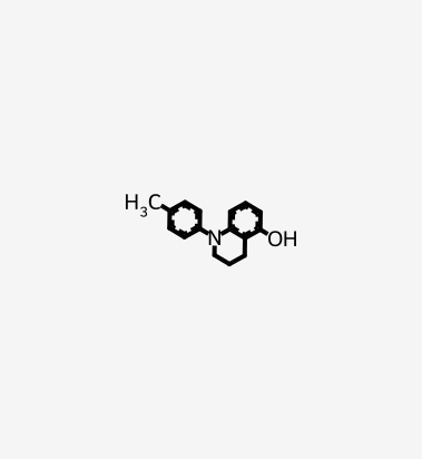 Cc1ccc(N2CCCc3c(O)cccc32)cc1